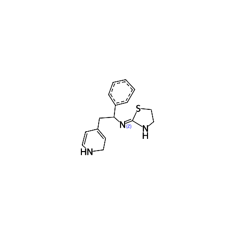 C1=CC(CC(/N=C2/NCCS2)c2ccccc2)=CCN1